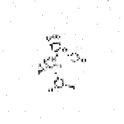 COc1ccc(COc2nc(S(C)(=O)=O)ncc2Cn2cnc(C(F)(F)F)c(CCc3cc(Cl)cc(C#N)c3)c2=O)cc1